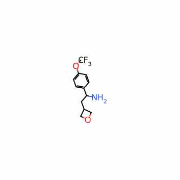 NC(CC1COC1)c1ccc(OC(F)(F)F)cc1